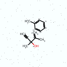 C#CC(C)(O)C(=C)C.Cc1ccccc1